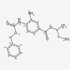 Bc1cc(C(=O)OC(CS(=O)(=O)O)C(F)(F)F)ccc1NC(=O)OCc1ccccc1